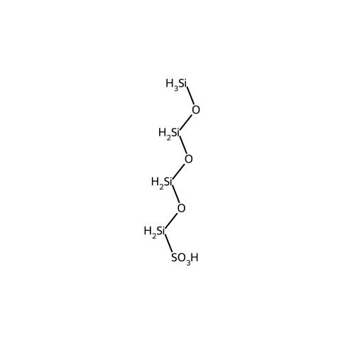 O=S(=O)(O)[SiH2]O[SiH2]O[SiH2]O[SiH3]